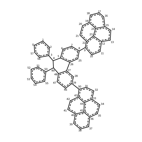 c1ccc(C2c3ccc(-c4ccc5ccc6cccc7ccc4c5c67)cc3-c3cc(-c4ccc5ccc6cccc7ccc4c5c67)ccc3C2c2ccccc2)cc1